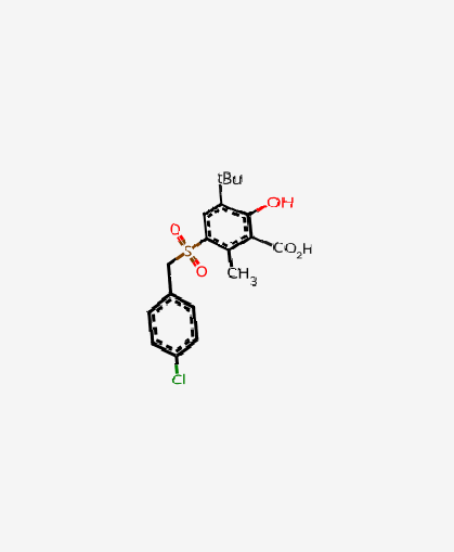 Cc1c(S(=O)(=O)Cc2ccc(Cl)cc2)cc(C(C)(C)C)c(O)c1C(=O)O